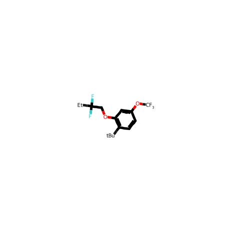 CCC(F)(F)COc1cc(OC(F)(F)F)ccc1C(C)(C)C